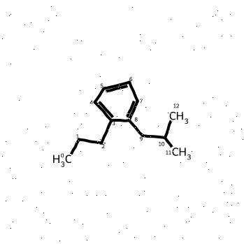 CC[CH]c1ccccc1CC(C)C